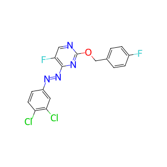 Fc1ccc(COc2ncc(F)c(/N=N/c3ccc(Cl)c(Cl)c3)n2)cc1